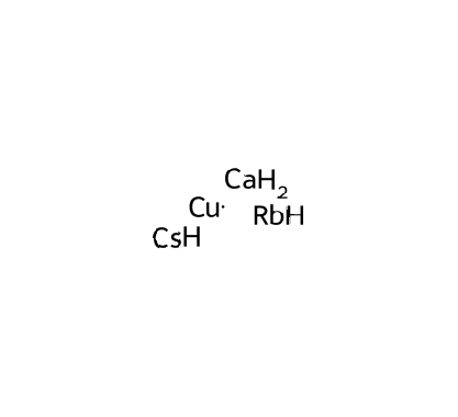 [CaH2].[CsH].[Cu].[RbH]